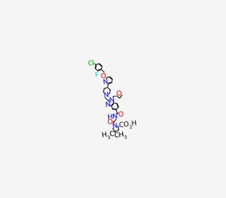 CC1(C)C[C@@H](C(=O)O)N(C(=O)CNC(=O)c2ccc3c(c2)nc(CN2CCC(c4cccc(OCc5ccc(Cl)cc5F)n4)CC2)n3C[C@@H]2CCO2)C1